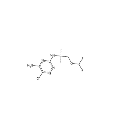 CC(C)(COC(F)F)Nc1nnc(Cl)c(N)n1